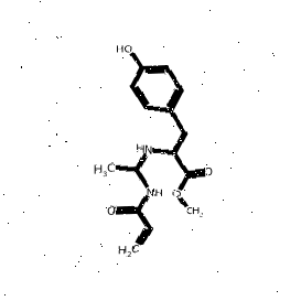 C=CC(=O)NC(C)NC(Cc1ccc(O)cc1)C(=O)OC